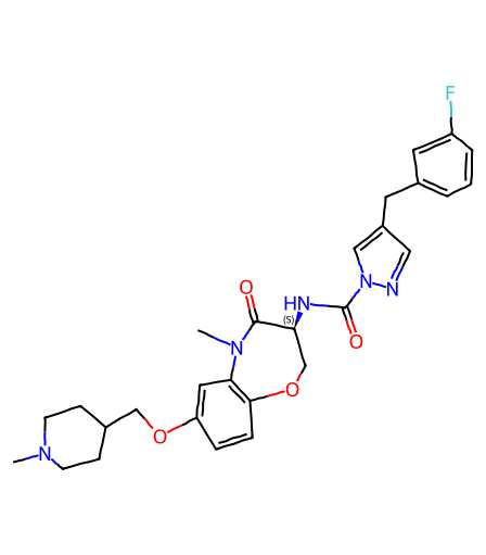 CN1CCC(COc2ccc3c(c2)N(C)C(=O)[C@@H](NC(=O)n2cc(Cc4cccc(F)c4)cn2)CO3)CC1